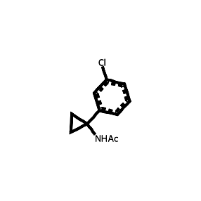 CC(=O)NC1(c2cccc(Cl)c2)CC1